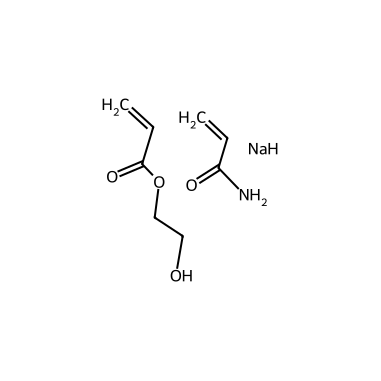 C=CC(=O)OCCO.C=CC(N)=O.[NaH]